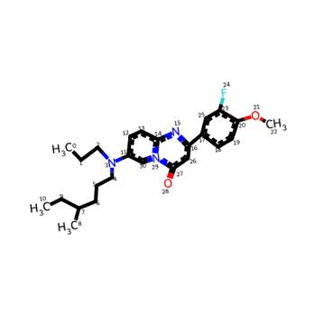 CCCN(CCCC(C)CC)c1ccc2nc(-c3ccc(OC)c(F)c3)cc(=O)n2c1